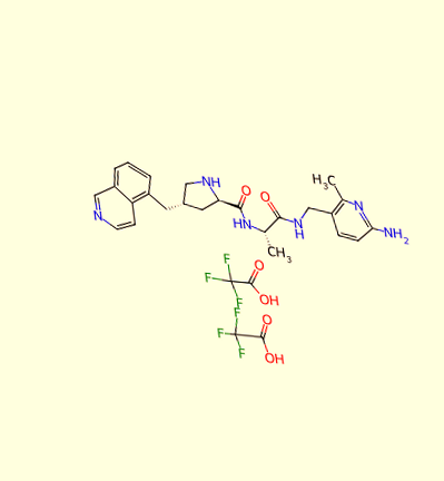 Cc1nc(N)ccc1CNC(=O)[C@H](C)NC(=O)[C@H]1C[C@H](Cc2cccc3cnccc23)CN1.O=C(O)C(F)(F)F.O=C(O)C(F)(F)F